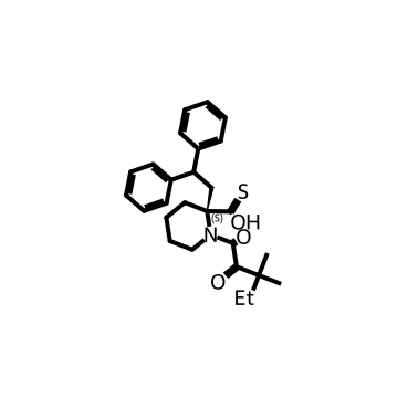 CCC(C)(C)C(=O)C(=O)N1CCCC[C@]1(CC(c1ccccc1)c1ccccc1)C(O)=S